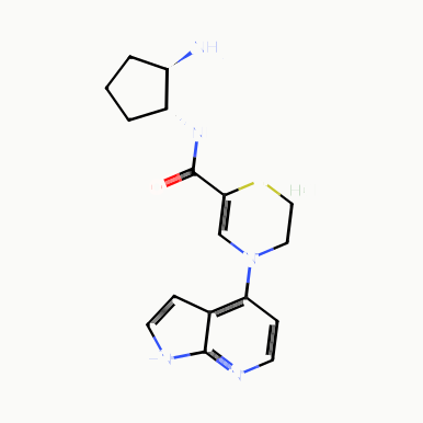 Cl.N[C@@H]1CCC[C@H]1NC(=O)C1=CN(c2ccnc3[nH]ccc23)CCS1